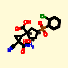 N#CC1(C(N)=O)CC1[C@@]1(C(=O)O)C[C@H](S(=O)(=O)c2ccccc2Cl)C[C@@H]1O